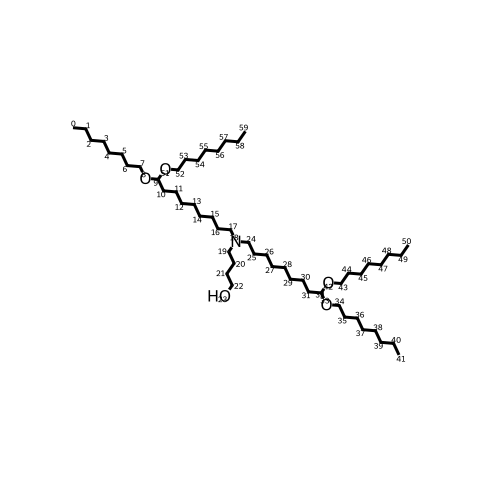 CCCCCCCCOC(CCCCCCCCN(CCCCO)CCCCCCCCC(OCCCCCCCC)OCCCCCCCC)OCCCCCCCC